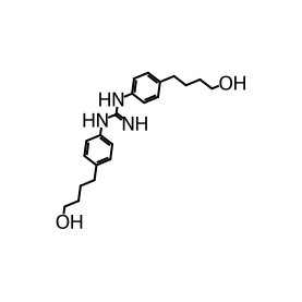 N=C(Nc1ccc(CCCCO)cc1)Nc1ccc(CCCCO)cc1